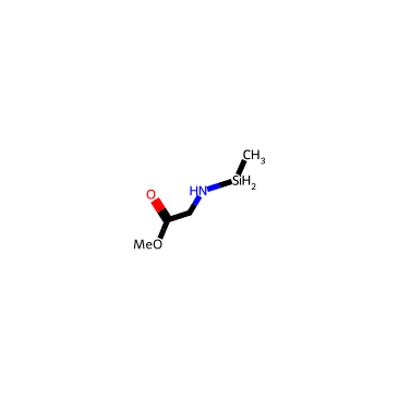 COC(=O)CN[SiH2]C